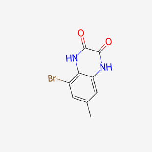 Cc1cc(Br)c2[nH]c(=O)c(=O)[nH]c2c1